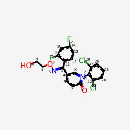 O=c1ccc(C(=NOCCO)c2ccc(F)cc2F)cn1-c1c(Cl)cccc1Cl